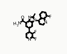 Cc1nc2c(C(N)=O)cc(-c3ccnc(F)c3F)cc2n1-c1ccnc2c(F)cccc12